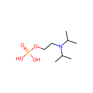 CC(C)N(CCOP(=O)(O)O)C(C)C